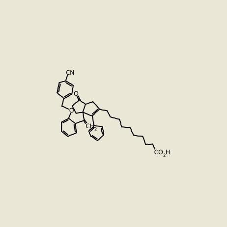 C=C(c1ccccc1OCc1ccc(C#N)cc1)C12CCC(=O)C1CC(CCCCCCCCCC(=O)O)=C2c1ccccc1